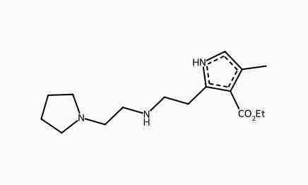 CCOC(=O)c1c(C)c[nH]c1CCNCCN1CCCC1